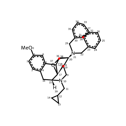 COc1ccc2c(c1)[C@]13CCN(CC4CC4)[C@H](C2)[C@]12CC[C@@](N(Cc1ccccc1)Cc1ccccc1)(CO2)C3